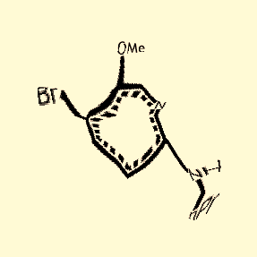 CCCNc1ccc(Br)c(OC)n1